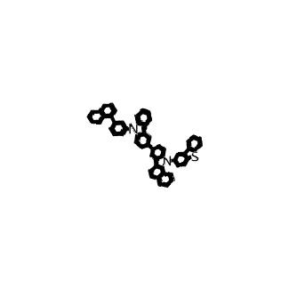 c1cc(-c2cccc3ccccc23)cc(-n2c3ccccc3c3cc(-c4ccc5c(c4)c4ccc6ccccc6c4n5-c4ccc5sc6ccccc6c5c4)ccc32)c1